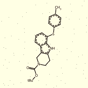 Cc1ccc(Sc2cccc3c4c([nH]c23)CCN(C(=O)OC(C)(C)C)C4)cc1